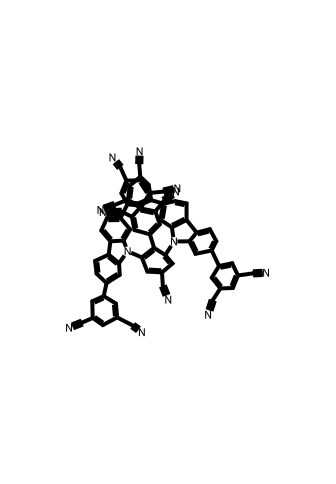 N#Cc1cc(C#N)cc(-c2ccc3c4ccc(-c5cc(C#N)cc(C#N)c5)cc4n(-c4cc(C#N)cc(-n5c6cc(-c7cc(C#N)cc(C#N)c7)ccc6c6ccc(-c7cc(C#N)cc(C#N)c7)cc65)c4-c4cc(C#N)cc(C#N)c4)c3c2)c1